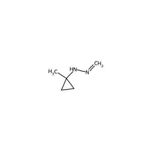 C=NNC1(C)CC1